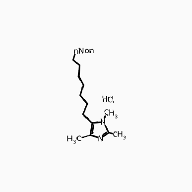 CCCCCCCCCCCCCCCCc1c(C)nc(C)n1C.Cl